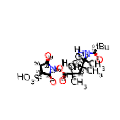 CC(C)(C)C(=O)NC(C)(C)C(C)(C)CC(C)(C)C(=O)ON1C(=O)CC(S(=O)(=O)O)C1=O